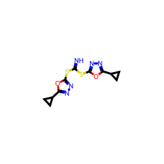 N=C(Sc1nnc(C2CC2)o1)Sc1nnc(C2CC2)o1